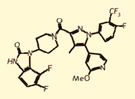 COc1cc(-c2c(C)c(C(=O)N3CCC(n4c(=O)[nH]c5ccc(F)c(F)c54)CC3)nn2-c2ccc(F)c(C(F)(F)F)c2)ccn1